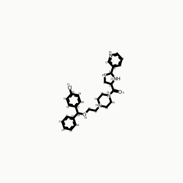 O=C(C1CSC(c2cccnc2)N1)N1CCN(CCOC(c2ccccc2)c2ccc(Cl)cc2)CC1